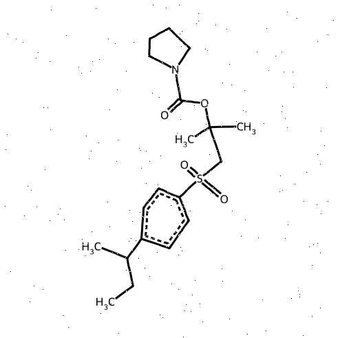 CCC(C)c1ccc(S(=O)(=O)CC(C)(C)OC(=O)N2CCCC2)cc1